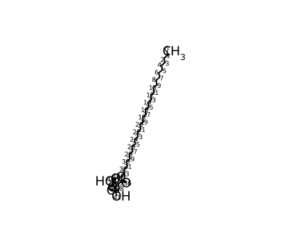 CCCCCCCCCCCCCCCCCCCCCCCCCCCCCCCCCCOC(=O)C(CC(=O)O)S(=O)(=O)O